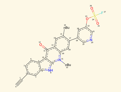 C#Cc1ccc2c(c1)[nH]c1c2c(=O)c2cc(CCCC)c(-c3cncc(OS(=O)(=O)F)c3)cc2n1CCCC